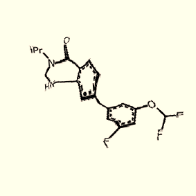 CC(C)N1CNc2cc(-c3cc(F)cc(OC(F)F)c3)ccc2C1=O